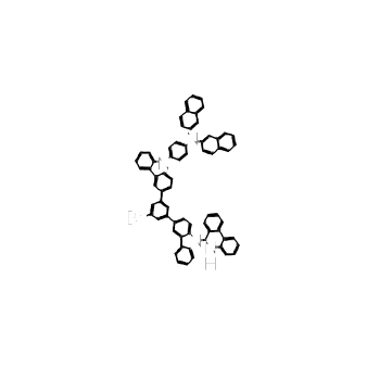 Brc1cc(-c2ccc3c(c2)c2ccccc2n3-c2ccc(N(c3ccc4ccccc4c3)c3ccc4ccccc4c3)cc2)cc(-c2ccc3c(c2)c2ccccc2n3C2Nc3ccccc3-c3ccccc32)c1